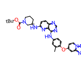 Cc1cc(Nc2ncnc3ccc(N[C@@H]4CCCN(C(=O)OC(C)(C)C)C4)nc23)ccc1Oc1ccn2ncnc2c1